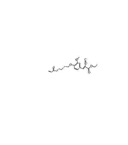 [C-]#[N+]/C(=C\c1ccc(OCCCCOC(=O)C=C)c(OC)c1)C(=O)OCC